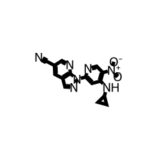 N#Cc1cnc2c(cnn2-c2cc(NC3CC3)c([N+](=O)[O-])cn2)c1